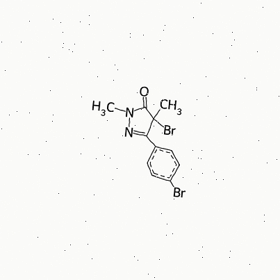 CN1N=C(c2ccc(Br)cc2)C(C)(Br)C1=O